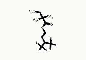 CCC(C)(C)C(=O)OCCC(C(F)(F)F)C(F)(F)F